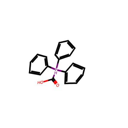 O=C(O)[PH](c1ccccc1)(c1ccccc1)c1ccccc1